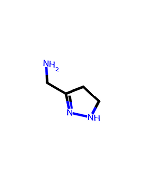 NCC1=NNCC1